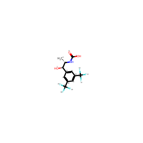 C[C@H](NC(=O)O)[C@H](O)c1cc(C(F)(F)F)cc(C(F)(F)F)c1